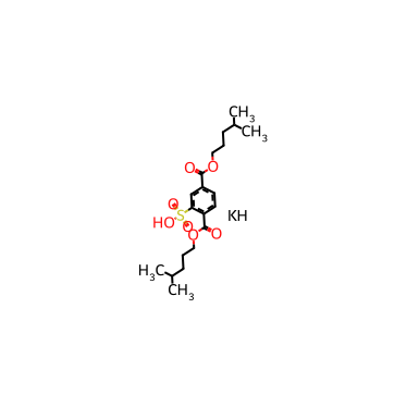 CC(C)CCCOC(=O)c1ccc(C(=O)OCCCC(C)C)c(S(=O)(=O)O)c1.[KH]